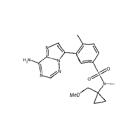 COCC1(N(C)S(=O)(=O)c2ccc(C)c(-c3cnc4c(N)ncnn34)c2)CC1